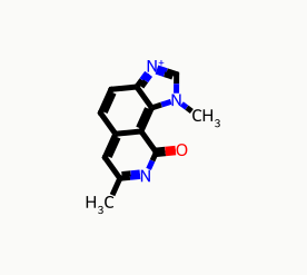 CC1=NC(=O)c2c3c(ccc2=C1)=[N+]=CN3C